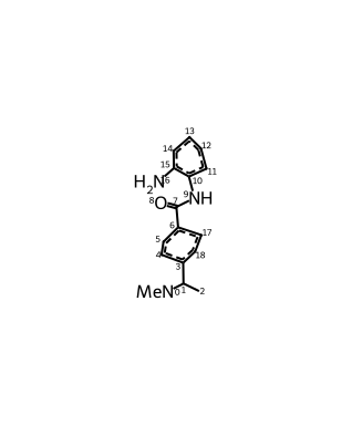 CNC(C)c1ccc(C(=O)Nc2ccccc2N)cc1